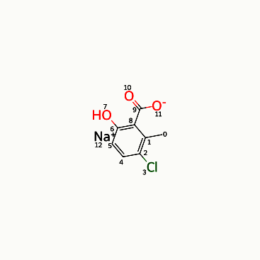 Cc1c(Cl)ccc(O)c1C(=O)[O-].[Na+]